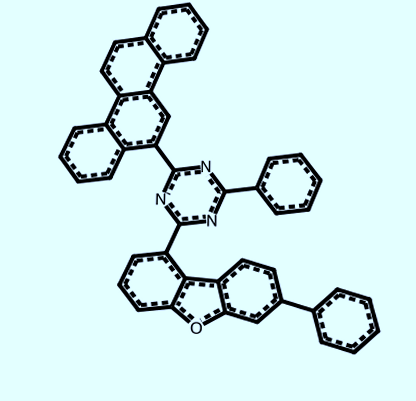 c1ccc(-c2ccc3c(c2)oc2cccc(-c4nc(-c5ccccc5)nc(-c5cc6c7ccccc7ccc6c6ccccc56)n4)c23)cc1